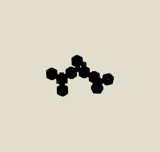 C1=CCCC(n2c3ccccc3c3cc(-c4ccc5c(c4)Oc4ccccc4N5c4ccc(-c5nc(-c6ccccc6)nc(-c6ccccc6)n5)cc4)ccc32)=C1